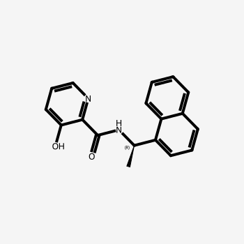 C[C@@H](NC(=O)c1ncccc1O)c1cccc2ccccc12